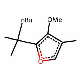 CCCCC(C)(C)c1occ(C)c1OC